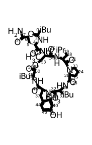 CCC(C)C(=O)N[C@@H](CCC(N)=O)C(=O)N[C@@H]1C(=O)NC(CC(C)C)C(=O)N2CCCC2C(=O)NC(C(C)CC)C(=O)N(C)C(Cc2ccc(O)cc2)C(=O)NC([C@H](C)CC)C(=O)OC1C